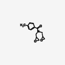 Cc1ccc(C(=O)N(CC2CO2)CC2CO2)cc1